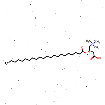 CCCCCCCCCCCCCCCCCCCCCC(=O)O[C@H](CC(=O)O)C[N+](C)(C)C